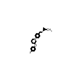 CC1C[C@H]1CCc1ccc(N2CCCC(Oc3ccc(F)cc3)C2)cc1